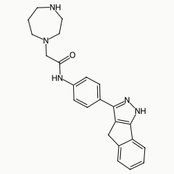 O=C(CN1CCCNCC1)Nc1ccc(-c2n[nH]c3c2Cc2ccccc2-3)cc1